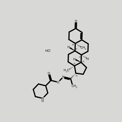 CC(=NOC(=O)C1CCCNC1)[C@H]1CC[C@H]2[C@@H]3CCC4=CC(=O)CC[C@]4(C)[C@H]3CC[C@]12C.Cl